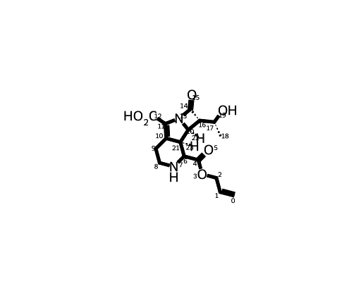 C=CCOC(=O)C1NCCC2=C(C(=O)O)N3C(=O)[C@H]([C@@H](C)O)[C@H]3[C@H]21